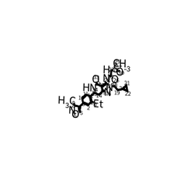 CCc1cc(-c2conc2C)ccc1C1Cc2nn(CCC3CC3)c(NC(=O)C[S+](C)[O-])c2C(=O)N1